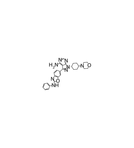 Nc1ncnc2c1c(-c1ccc3nc(Nc4ccccc4)oc3c1)nn2[C@H]1CC[C@H](N2CCOCC2)CC1